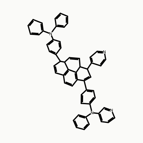 C1=CC(c2ccc(N(c3ccccc3)c3ccccc3)cc2)C2C=CC3c4c(ccc1c42)C(c1ccc(N(c2ccccc2)c2cccnc2)cc1)=CC3c1ccncc1